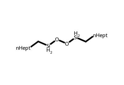 CCCCCCCC[SiH2]OO[SiH2]CCCCCCCC